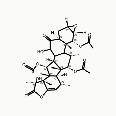 CC(=O)O[C@H]1[C@@H]2[C@H]([C@H](C)C=C3OC(=O)[C@@](C)(O)[C@@]32C)[C@]2(C)[C@@H]1C1C(O)C(=O)[C@H]3C[C@@H]4O[C@@H]4[C@H](OC(C)=O)[C@]3(C)C1[C@H](C)[C@@H]2OC(C)=O